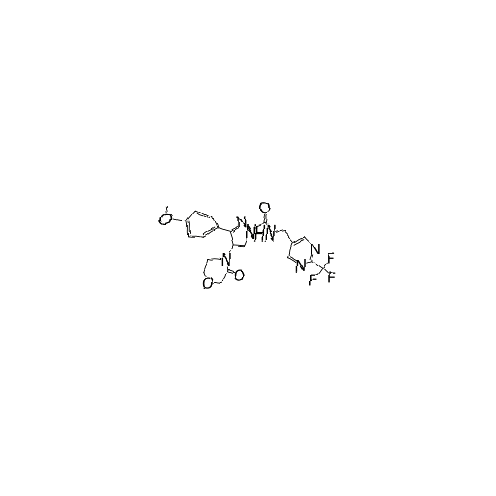 COc1ccc(C2=NN(C(=O)NCc3cnc(C(F)(F)F)nc3)CC2N2CCOCC2=O)cc1